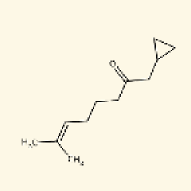 CC(C)=CCCCC(=O)CC1CC1